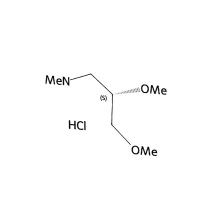 CNC[C@@H](COC)OC.Cl